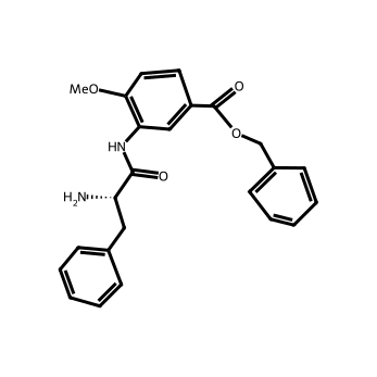 COc1ccc(C(=O)OCc2ccccc2)cc1NC(=O)[C@@H](N)Cc1ccccc1